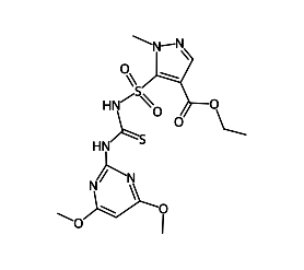 CCOC(=O)c1cnn(C)c1S(=O)(=O)NC(=S)Nc1nc(OC)cc(OC)n1